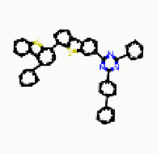 c1ccc(-c2ccc(-c3nc(-c4ccccc4)nc(-c4ccc5c(c4)sc4c(-c6ccc(-c7ccccc7)c7c6sc6ccccc67)cccc45)n3)cc2)cc1